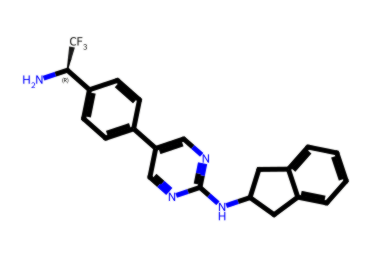 N[C@H](c1ccc(-c2cnc(NC3Cc4ccccc4C3)nc2)cc1)C(F)(F)F